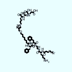 [N-]=[N+]=NCCC(=O)N[C@@H](CCCCN)C(=O)NCCNC(=O)C(Cc1ccccc1)NC(=O)[C@H](Cc1ccccc1)NC(=O)CCCCCCCOCc1cn(CCCC[C@H](NC(=O)N[C@@H](CCC(=O)O)C(=O)O)C(=O)O)nn1